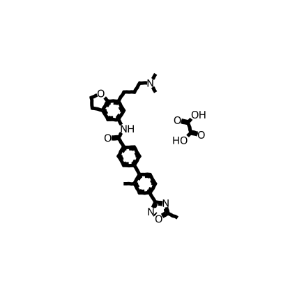 Cc1nc(-c2ccc(-c3ccc(C(=O)Nc4cc(CCCN(C)C)c5c(c4)CCO5)cc3)c(C)c2)no1.O=C(O)C(=O)O